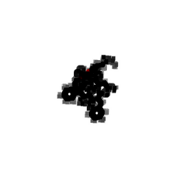 CC(C)CC(NC(=O)C(Cc1ccccc1)NC(=O)C(N)Cc1ccccc1)C(=O)NC(CCCCN)C(=O)N1C2CC1CN(C(=O)C(N)C(C)C)C2